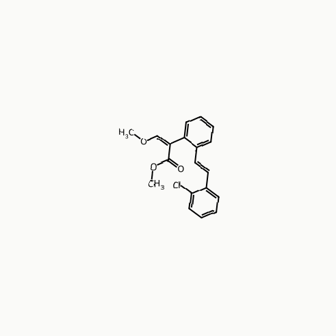 COC=C(C(=O)OC)c1ccccc1C=Cc1ccccc1Cl